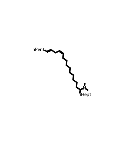 CCCCCC=CC/C=C\CCCCCCCCCC(CCCCCCC)N(C)C